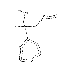 COC(C)(CC=O)c1ccccc1